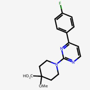 COC1(C(=O)O)CCN(c2nccc(-c3ccc(F)cc3)n2)CC1